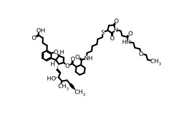 CC#CCC(C)[C@H](O)/C=C/[C@H]1C(OC(=O)C2CCCCC2C(=O)NCCCCCCSC2CC(=O)N(CCC(=O)NCCCOCCC)C2=O)C[C@@H]2Oc3c(CCCC(=O)O)cccc3[C@@H]21